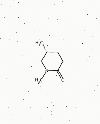 C[C@@H]1CCC(=O)N(C)C1